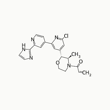 C=CC(=O)N1CCO[C@H](c2cc(Cl)nc(-c3ccnc(-c4ncc[nH]4)c3)c2)[C@H]1C